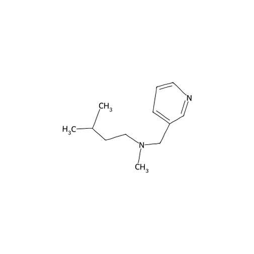 CC(C)CCN(C)Cc1cccnc1